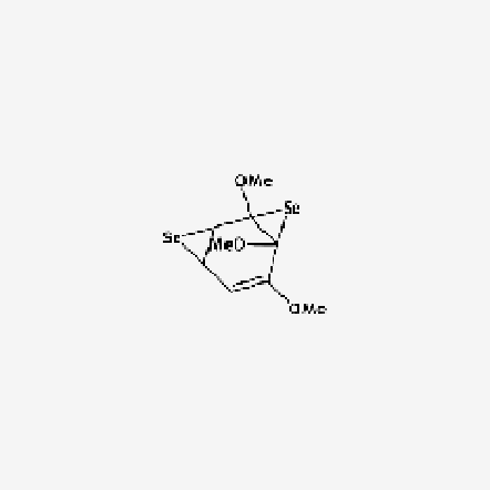 COC1=CC2[Se]C2C2(OC)[Se]C12OC